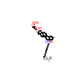 CC1(C)CC[C@]2(C(=O)NCCCCCCCCCCC(=O)O)CC[C@]3(C)C(=CCC4[C@@]5(C)CCC(OC(O)CC(C)(C)OCO)C(C)(C)C5CC[C@]43C)C2C1